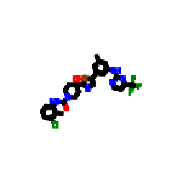 Cc1cc(Nc2nccc(C(F)(F)F)n2)cc(-c2cnc(C3(O)CCN(C(=O)Nc4cccc(Cl)c4C)CC3)s2)c1